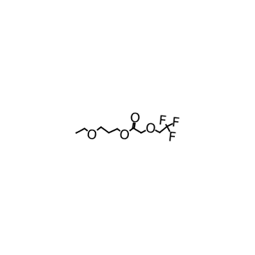 CCOCCCOC(=O)COCC(F)(F)F